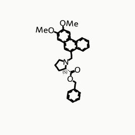 COc1cc2cc(CN3CCC[C@H]3C(=O)OCc3ccccc3)c3ccccc3c2cc1OC